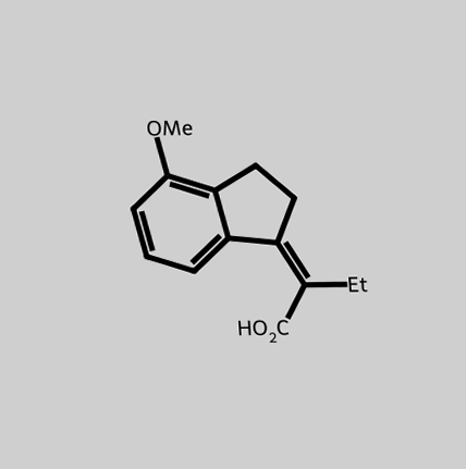 CCC(C(=O)O)=C1CCc2c(OC)cccc21